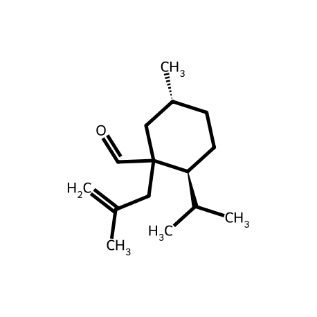 C=C(C)CC1(C=O)C[C@H](C)CC[C@H]1C(C)C